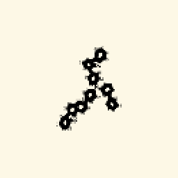 c1ccc(-c2cccc(N(c3ccc(-c4ccc5c(ccc6c7ccccc7oc56)c4)cc3)c3ccc(-c4cccc5c4sc4ccccc45)cc3)c2)cc1